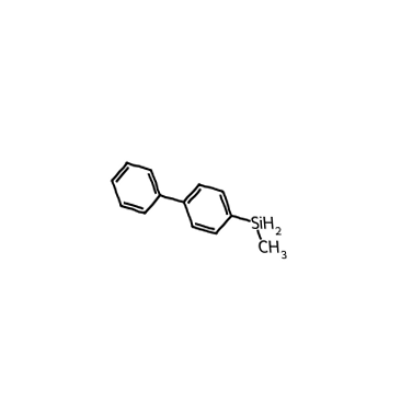 C[SiH2]c1ccc(-c2ccccc2)cc1